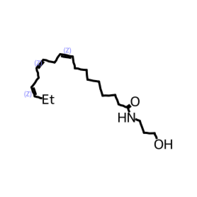 CC/C=C\C/C=C\C/C=C\CCCCCCCC(=O)NCCCO